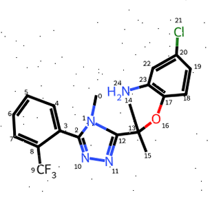 Cn1c(-c2ccccc2C(F)(F)F)nnc1C(C)(C)Oc1ccc(Cl)cc1N